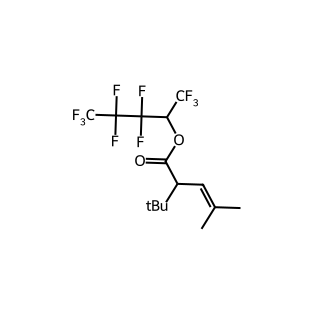 CC(C)=CC(C(=O)OC(C(F)(F)F)C(F)(F)C(F)(F)C(F)(F)F)C(C)(C)C